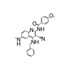 CNc1ccc2nc(NC(=O)c3ccc(OC)cc3)c(C#N)c(NCc3ccccc3)c2c1